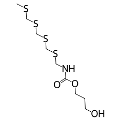 CSCSCSCSCNC(=O)OCCCO